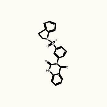 O=c1[nH]c2ccccc2c(=O)n1-c1cccc(S(=O)(=O)N2CCc3ccccc32)c1